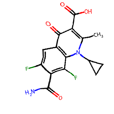 Cc1c(C(=O)O)c(=O)c2cc(F)c(C(N)=O)c(F)c2n1C1CC1